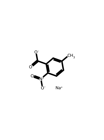 Cc1ccc([N+](=O)[O-])c(C(=O)[O-])c1.[Na+]